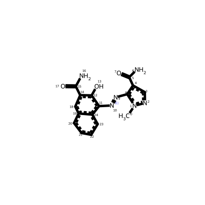 Cn1ncc(C(N)=O)c1/N=N/c1c(O)c(C(N)=O)cc2ccccc12